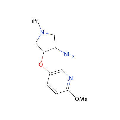 COc1ccc(OC2CN(C(C)C)CC2N)cn1